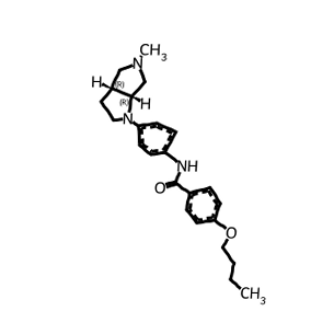 CCCCOc1ccc(C(=O)Nc2ccc(N3CC[C@@H]4CN(C)C[C@@H]43)cc2)cc1